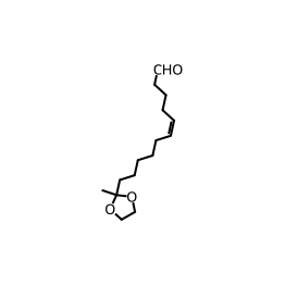 CC1(CCCCC/C=C\CCCC=O)OCCO1